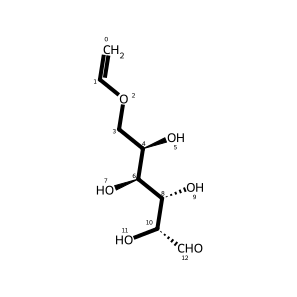 C=COC[C@@H](O)[C@H](O)[C@H](O)[C@@H](O)C=O